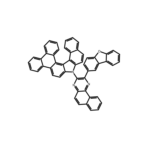 c1ccc2c(c1)ccc1nc(-n3c4ccc5ccccc5c4c4c5c6ccccc6c6ccccc6c5ccc43)c(-c3ccc4oc5ccccc5c4c3)nc12